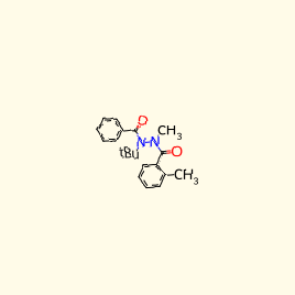 Cc1ccccc1C(=O)N(C)N(C(=O)c1ccccc1)C(C)(C)C